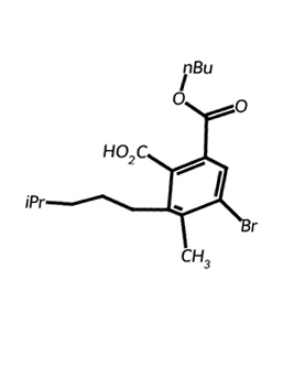 CCCCOC(=O)c1cc(Br)c(C)c(CCCC(C)C)c1C(=O)O